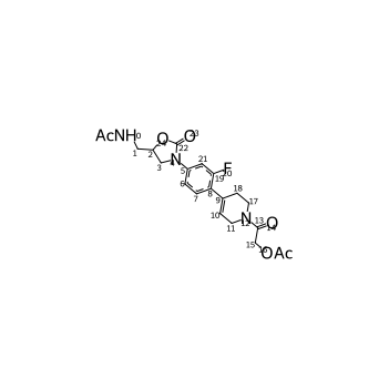 CC(=O)NCC1CN(c2ccc(C3=CCN(C(=O)COC(C)=O)CC3)c(F)c2)C(=O)O1